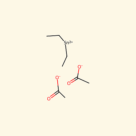 CC(=O)[O-].CC(=O)[O-].C[CH2][Sn+2][CH2]C